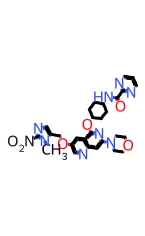 Cn1c(COc2cnc3cc(N4CCOCC4)nc(O[C@H]4CC[C@@H](NC(=O)c5ncccn5)CC4)c3c2)cnc1[N+](=O)[O-]